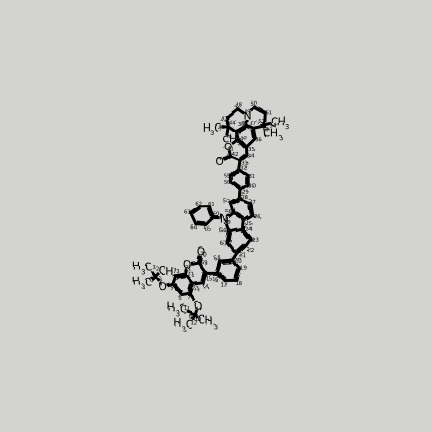 CC(C)(C)Oc1cc(OC(C)(C)C)c2cc(-c3cccc(-c4ccc5c6ccc(-c7ccc(-c8cc9cc%10c%11c(c9oc8=O)C(C)(C)CCN%11CCC%10(C)C)cc7)cc6n(-c6ccccc6)c5c4)c3)c(=O)oc2c1